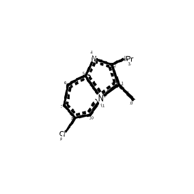 Cc1c(C(C)C)nc2ccc(Cl)cn12